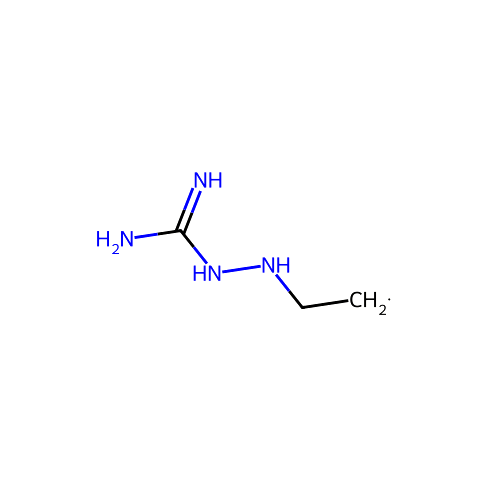 [CH2]CNNC(=N)N